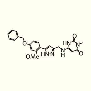 COc1cc(OCc2ccccc2)ccc1-c1cc(CNc2cc(=O)n(C)c(=O)[nH]2)n[nH]1